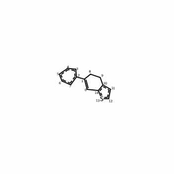 C1=C(c2ccccc2)CCc2ccsc21